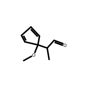 COC1(C(C)C=O)C=CC=C1